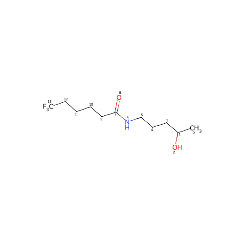 CC(O)CCCNC(=O)CCCCC(F)(F)F